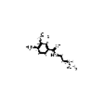 CNCCNC(=O)c1ccc(N)c(OC)c1